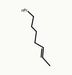 [CH2]CCCCCC/C=[C]/C